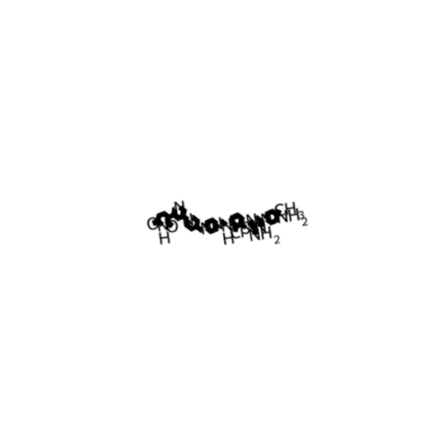 CC1(N)CCN(c2cnc(Sc3cccc(NCN4CCN(CC5CCN(c6cncc(C7CCC(=O)NC7=O)c6)CC5)CC4)c3Cl)c(N)n2)CC1